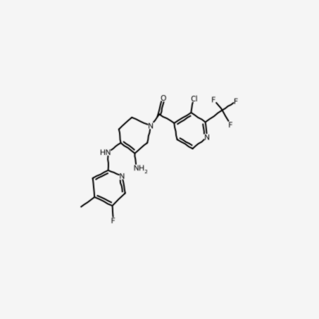 Cc1cc(NC2=C(N)CN(C(=O)c3ccnc(C(F)(F)F)c3Cl)CC2)ncc1F